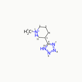 [CH2-][NH+]1CCCC(c2nnn[nH]2)C1